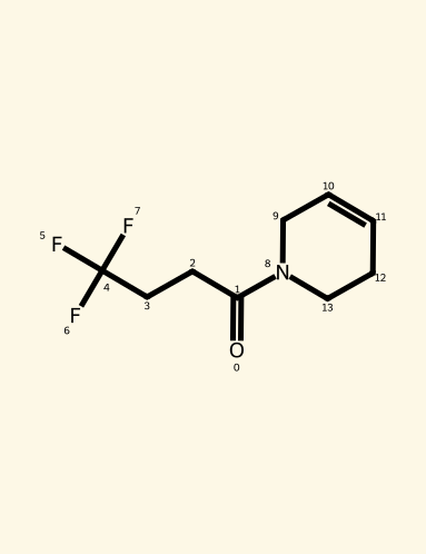 O=C(CCC(F)(F)F)N1CC=CCC1